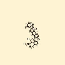 Cc1cccc([C@@H](C)n2c(=O)oc3cc(S(=O)(=O)Nc4cccc(F)n4)c(F)cc32)c1CCN